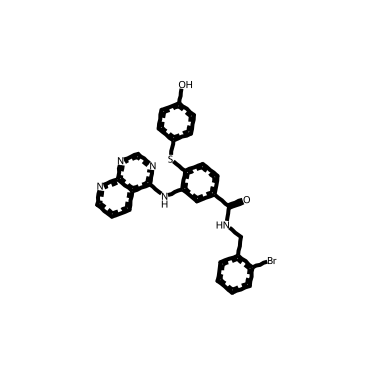 O=C(NCc1ccccc1Br)c1ccc(Sc2ccc(O)cc2)c(Nc2ncnc3ncccc23)c1